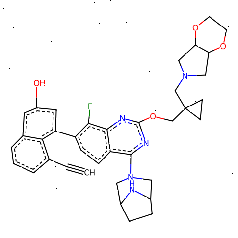 C#Cc1cccc2cc(O)cc(-c3ccc4c(N5CC6CCC(C5)N6)nc(OCC5(CN6CC7OCCOC7C6)CC5)nc4c3F)c12